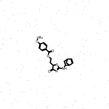 CCCCOc1ccc(C(=O)OCCC2SC(NC3CC4C=CC3C4)=NC2=O)cc1